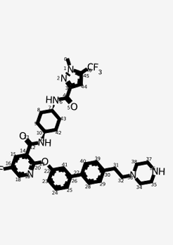 Cn1nc(C(=O)N[C@H]2CC[C@H](NC(=O)c3cc(F)cnc3Oc3cccc(-c4ccc(CCN5CCNCC5)cc4)c3)CC2)cc1C(F)(F)F